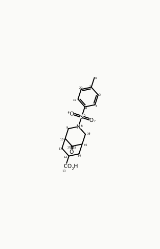 Cc1ccc(S(=O)(=O)N2CC3CC(C(=O)O)CC(C2)C3=O)cc1